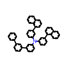 c1ccc(-c2cccc(-c3cccc(N(c4cccc(-c5cccc6ccccc56)c4)c4cccc(-c5cccc6ccccc56)c4)c3)c2)cc1